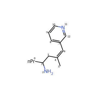 CCCC(N)CC(C)=Cc1cccnc1